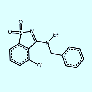 CCN(Cc1ccccc1)C1=NS(=O)(=O)c2cccc(Cl)c21